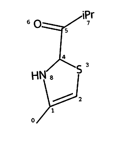 CC1=CSC(C(=O)C(C)C)N1